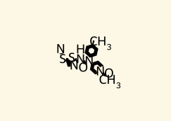 CC(=O)N1CCC(N(C(=O)Nc2ncc(SC#N)s2)[C@H]2CC[C@H](C)CC2)CC1